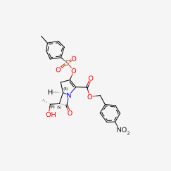 Cc1ccc(S(=O)(=O)OC2=C(C(=O)OCc3ccc([N+](=O)[O-])cc3)N3C(=O)[C@H]([C@@H](C)O)[C@H]3C2)cc1